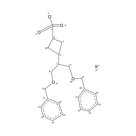 O=S(=O)([O-])C1CC(C(COCc2ccccc2)COCc2ccccc2)C1.[K+]